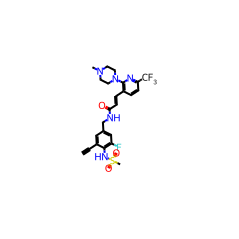 C#Cc1cc(CNC(=O)/C=C/c2ccc(C(F)(F)F)nc2N2CCN(C)CC2)cc(F)c1NS(C)(=O)=O